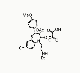 CCNCCN1C(=O)[C@@H](OC(C)=O)[C@@H](c2ccc(OC)cc2)Sc2cc(Cl)ccc21.O=C(O)C(=O)O